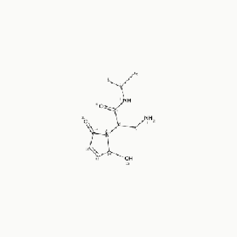 CC(C)NC(=O)C(CN)N1C(=O)C=CC1O